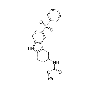 CC(C)(C)OC(=O)NC1CCc2[nH]c3ccc(S(=O)(=O)c4ccccc4)cc3c2C1